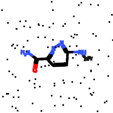 CCCNc1ccc(C(N)=O)nn1